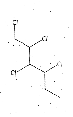 CCC(Cl)C(Cl)C(Cl)CCl